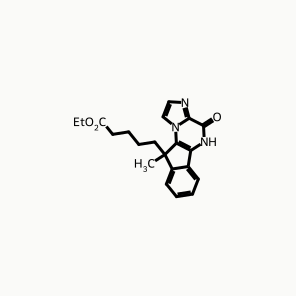 CCOC(=O)CCCCC1(C)c2ccccc2-c2[nH]c(=O)c3nccn3c21